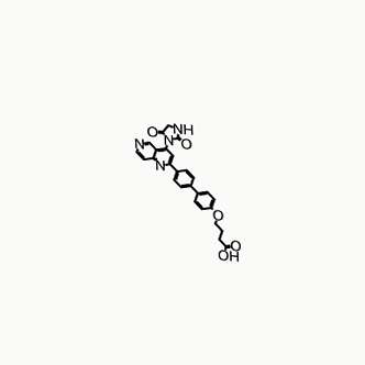 O=C(O)CCCOc1ccc(-c2ccc(-c3cc(N4C(=O)CNC4=O)c4cnccc4n3)cc2)cc1